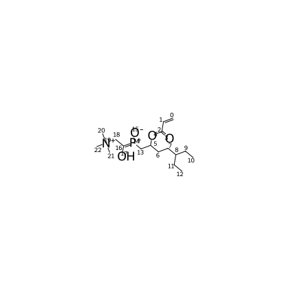 C=CC(=O)OC(CCC(CC)CC)C/[P+]([O-])=C(\O)C[N+](C)(C)C